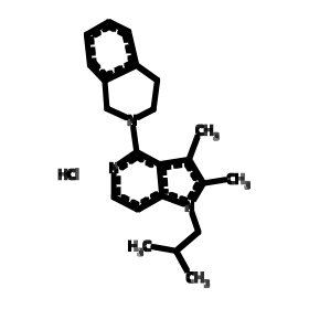 Cc1c(C)n(CC(C)C)c2ccnc(N3CCc4ccccc4C3)c12.Cl